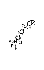 CC(=O)N(CC(F)F)c1ccc(-c2ccc(C(=O)Nc3ccn4ccnc4c3)cn2)cc1Cl